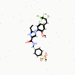 CCc1nc(C(=O)NC[C@H]2CC[C@@H](S(C)(=O)=O)CC2)cn1-c1ccc(C[C@@H](C)C(F)(F)F)cc1OC